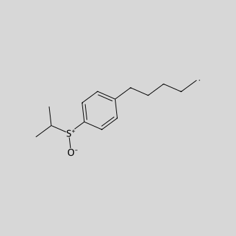 [CH2]CCCCc1ccc([S+]([O-])C(C)C)cc1